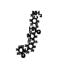 NCc1ccc(CNC(=O)c2cncc(Cc3ccc(Cn4ccccc4=O)cc3)c2)cc1